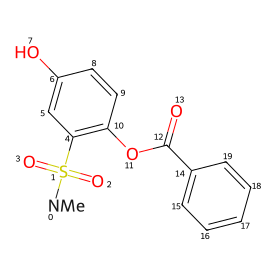 CNS(=O)(=O)c1cc(O)ccc1OC(=O)c1ccccc1